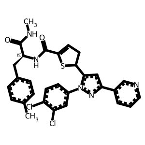 CNC(=O)[C@H](Cc1ccc(C)cc1)NC(=O)C1=CCC(c2cc(-c3cccnc3)nn2-c2ccc(Cl)c(Cl)c2)S1